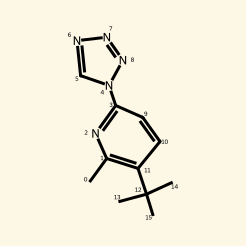 Cc1nc(-n2cnnn2)ccc1C(C)(C)C